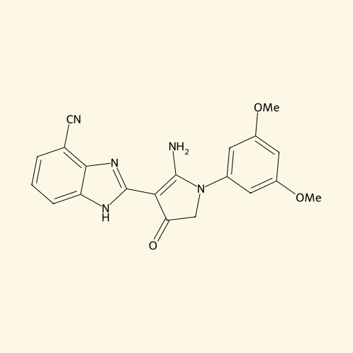 COc1cc(OC)cc(N2CC(=O)C(c3nc4c(C#N)cccc4[nH]3)=C2N)c1